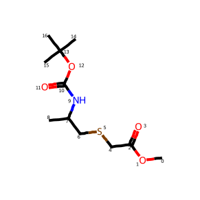 COC(=O)CSCC(C)NC(=O)OC(C)(C)C